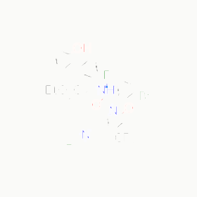 CCOC(=O)C[C@H](NC(=O)C(c1cc(Br)ccc1F)n1cc(CCN2CC(F)C2)c(C(F)(F)F)cc1=O)c1cc(-c2c(C)cccc2O)cc(C)c1F